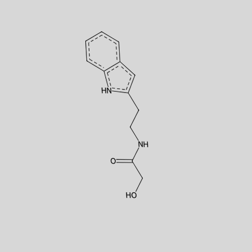 O=C(CO)NCCc1cc2ccccc2[nH]1